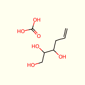 C=CCC(O)C(O)CO.O=C(O)O